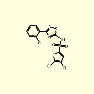 O=S(=O)(Nc1nc(-c2ccccc2Cl)ns1)c1cc(Cl)c(Cl)s1